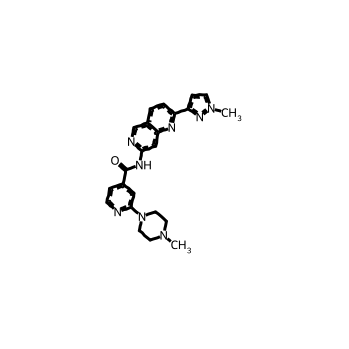 CN1CCN(c2cc(C(=O)Nc3cc4nc(-c5ccn(C)n5)ccc4cn3)ccn2)CC1